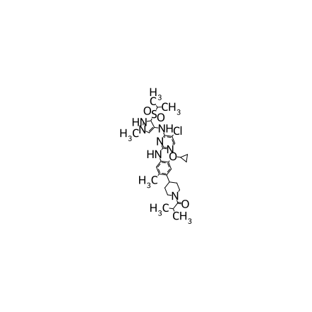 Cc1cc(Nc2ncc(Cl)c(NC3=CN(C)NC3S(=O)(=O)C(C)C)n2)c(OC2CC2)cc1C1CCN(C(=O)C(C)C)CC1